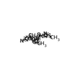 CCSc1ccc(CNC(=O)c2cc3c(s2)C2(CCN(C(C)c4ccc(C#N)cc4)CC2)OCC3C)nc1